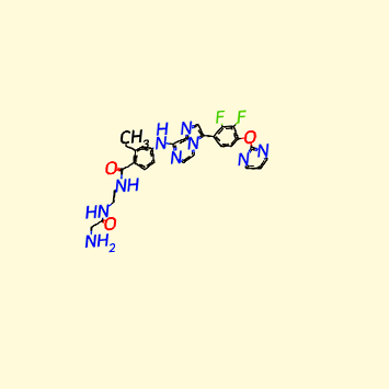 CCc1cc(Nc2nccn3c(-c4ccc(Oc5ncccn5)c(F)c4F)cnc23)ccc1C(=O)NCCNC(=O)CN